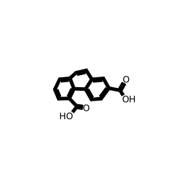 O=C(O)c1ccc2c(ccc3cccc(C(=O)O)c32)c1